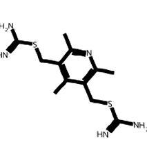 Cc1nc(C)c(CSC(=N)N)c(C)c1CSC(=N)N